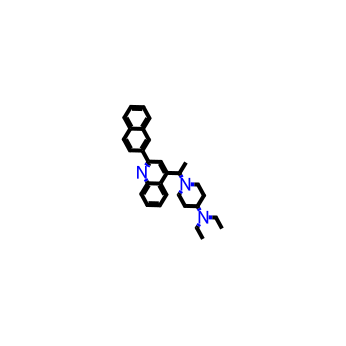 CCN(CC)C1CCN(C(C)c2cc(-c3ccc4ccccc4c3)nc3ccccc23)CC1